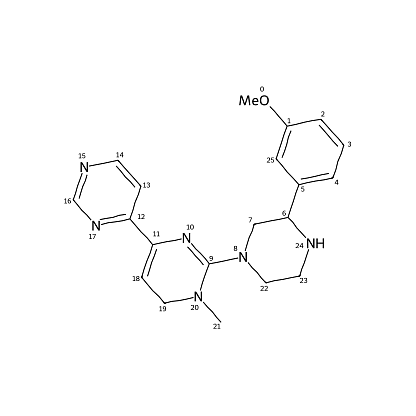 COc1cccc(C2CN(C3=NC(c4ccncn4)=CCN3C)CCN2)c1